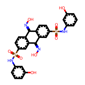 O=S(=O)(Nc1cccc(O)c1)c1ccc2c(c1)C(=NO)c1cc(S(=O)(=O)Nc3cccc(O)c3)ccc1C2=NO